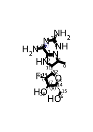 CC1N=C(/C(N)=N\C(=N)N)NC1[C@@H]1O[C@H](CO)[C@@H](O)[C@H]1F